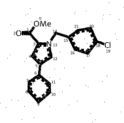 COC(=O)c1cc(-c2ccccc2)cn1Cc1ccc(Cl)cc1